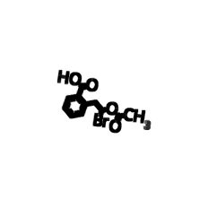 CC(=O)OC(Br)Cc1ccccc1C(=O)O